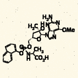 COc1nc(N)nc2c1ncn2C1O[C@H](COP(=O)(NC(C)C(=O)O)Oc2cccc3ccccc23)C[C@@]1(C)O